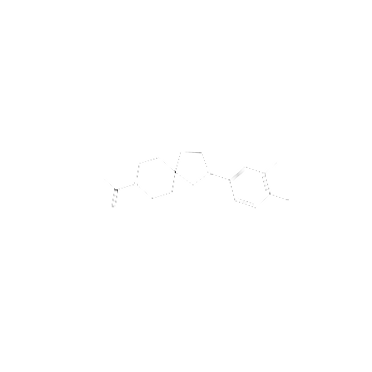 O=C(O)N1CCC2(CC1)CCN(c1ccc(F)c(F)c1)C2